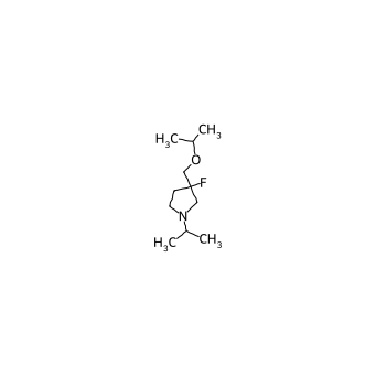 CC(C)OCC1(F)CCN(C(C)C)C1